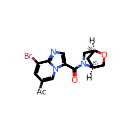 CC(=O)c1cc(Br)c2ncc(C(=O)N3C[C@@H]4C[C@H]3CO4)n2c1